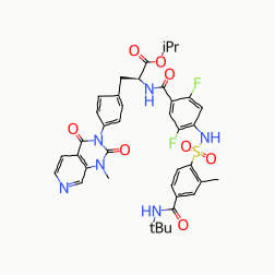 Cc1cc(C(=O)NC(C)(C)C)ccc1S(=O)(=O)Nc1cc(F)c(C(=O)N[C@@H](Cc2ccc(-n3c(=O)c4ccncc4n(C)c3=O)cc2)C(=O)OC(C)C)cc1F